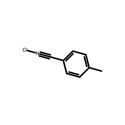 Cc1ccc(C#[N+][O-])cc1